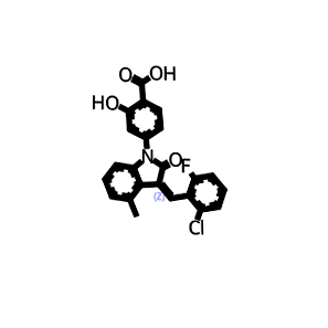 Cc1cccc2c1/C(=C/c1c(F)cccc1Cl)C(=O)N2c1ccc(C(=O)O)c(O)c1